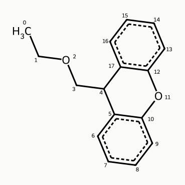 CCOCC1c2ccccc2Oc2ccccc21